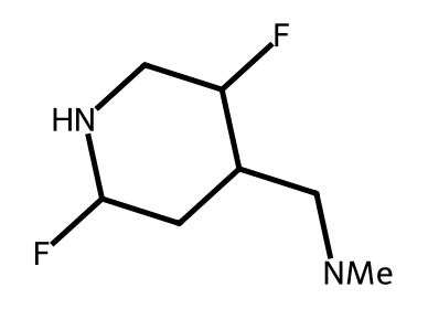 CNCC1CC(F)NCC1F